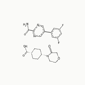 NC(=O)c1ncc(-c2cc(F)cc(F)c2)cn1.O=C1COCCN1[C@H]1CC[C@@H](C(=O)O)CC1